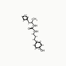 CC(Cc1ccsc1)NC(=O)NCCCc1ccc(O)cc1